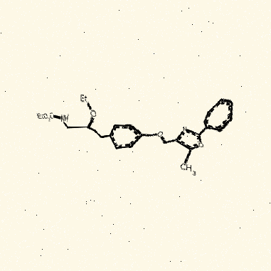 CCOC(=O)NC[C@H](Cc1ccc(OCc2nc(-c3ccccc3)oc2C)cc1)OCC